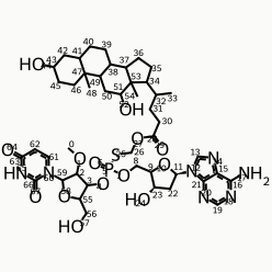 COC1C(OP(=O)(OCC2O[C@@H](n3cnc4c(N)ncnc43)C[C@H]2O)SCOC(=O)CCC(C)C2CCC3C4CCC5CC(O)CCC5(C)C4CC(O)C23C)C(CO)OC1n1ccc(=O)[nH]c1=O